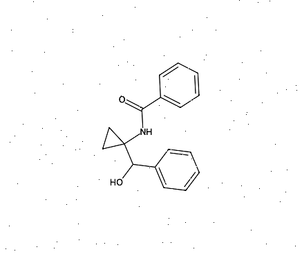 O=C(NC1(C(O)c2ccccc2)CC1)c1ccccc1